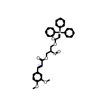 COc1ccc(/C=C/C(=O)OCC(COC(=O)C=P(c2ccccc2)(c2ccccc2)c2ccccc2)N=O)cc1OC